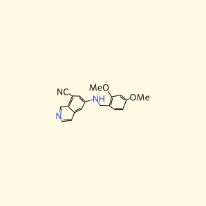 COc1ccc(CNc2cc(C#N)c3cnccc3c2)c(OC)c1